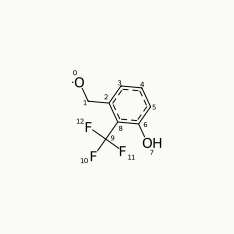 [O]Cc1cccc(O)c1C(F)(F)F